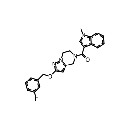 Cn1cc(C(=O)N2CCn3nc(OCc4cccc(F)c4)cc3C2)c2ccccc21